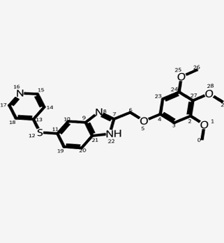 COc1cc(OCc2nc3cc(Sc4ccncc4)ccc3[nH]2)cc(OC)c1OC